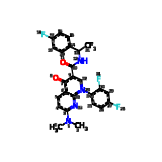 CN(C)c1ccc2c(=O)c(C(=O)NC(c3ccc(F)cc3)C(F)(F)F)cn(-c3ccc(F)cc3F)c2n1